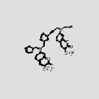 C=CCN(CC#Cc1cccc(CN(Cc2ccccc2)c2ccc3cc(C(=O)O)c(=O)oc3c2)c1)c1ccc2cc(C(=O)O)c(=O)oc2c1